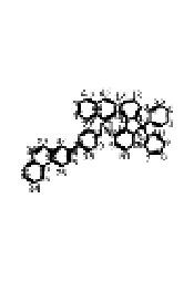 c1ccc(C2(c3ccccc3)c3ccccc3-c3c(N(c4ccc(-c5ccc6c(ccc7ccccc76)c5)cc4)c4cccc5ccccc45)cccc32)cc1